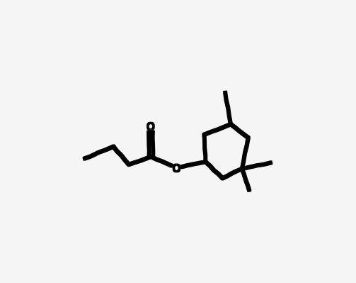 CCCC(=O)OC1CC(C)CC(C)(C)C1